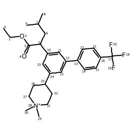 CCOC(=O)C(CC(C)C)c1cc(-c2ccc(C(F)(F)F)cc2)cc(C2CC[N+](C)(C)CC2)c1